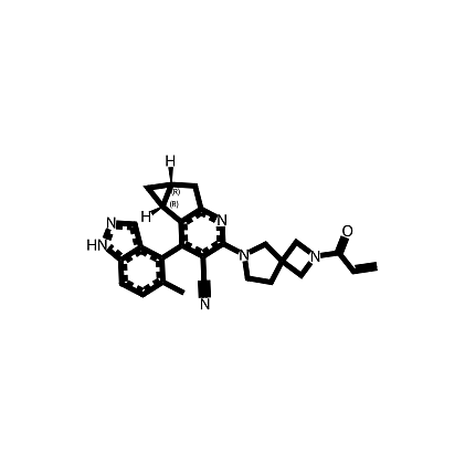 C=CC(=O)N1CC2(CCN(c3nc4c(c(-c5c(C)ccc6[nH]ncc56)c3C#N)[C@@H]3C[C@@H]3C4)C2)C1